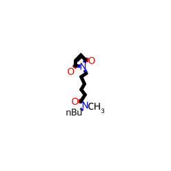 CCCCN(C)C(=O)CCCCCN1C(=O)C=CC1=O